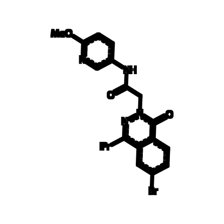 COc1ccc(NC(=O)Cn2nc(C(C)C)c3cc(Br)ccc3c2=O)cn1